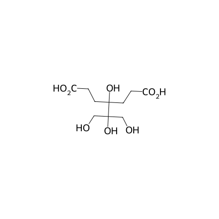 O=C(O)CCC(O)(CCC(=O)O)C(O)(CO)CO